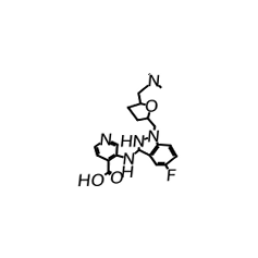 CN(C)CC1CCC(CN2NC(Nc3cnccc3C(=O)O)c3cc(F)ccc32)O1